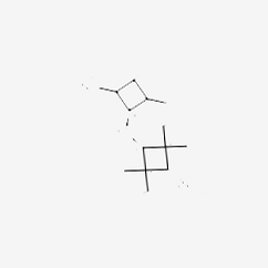 CC1(C)[C@H](N)C(C)(C)[C@H]1O[C@@H]1C(Cl)CC1C#N